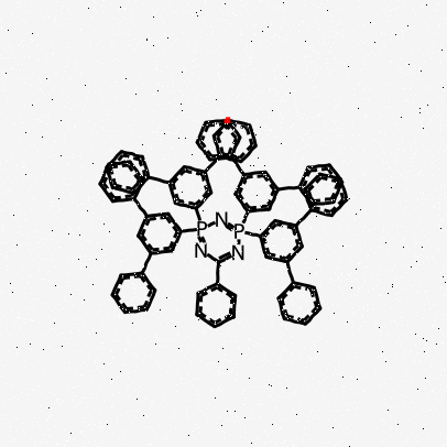 c1ccc(C2=NP(c3cc(-c4ccccc4)cc(-c4ccccc4)c3)(c3cc(-c4ccccc4)cc(-c4ccccc4)c3)=NP(c3cc(-c4ccccc4)cc(-c4ccccc4)c3)(c3cc(-c4ccccc4)cc(-c4ccccc4)c3)=N2)cc1